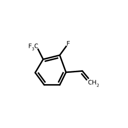 C=Cc1cccc(C(F)(F)F)c1F